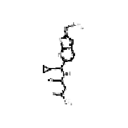 CC(CC(=O)NC(c1ccn2cc(CN)nc2n1)C1CC1)C(F)(F)F